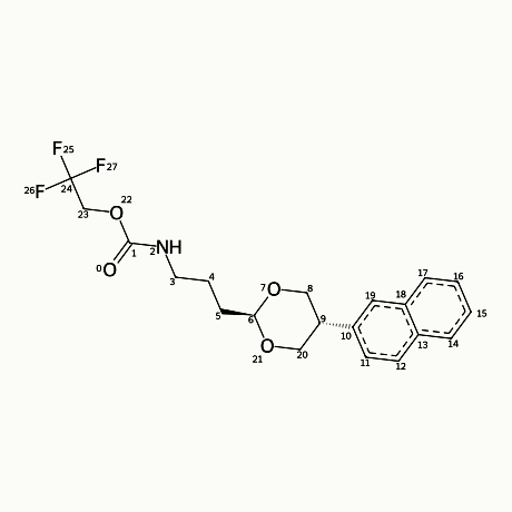 O=C(NCCC[C@H]1OC[C@H](c2ccc3ccccc3c2)CO1)OCC(F)(F)F